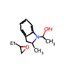 CC(O)N1c2ccccc2CC1C.CCC1CO1